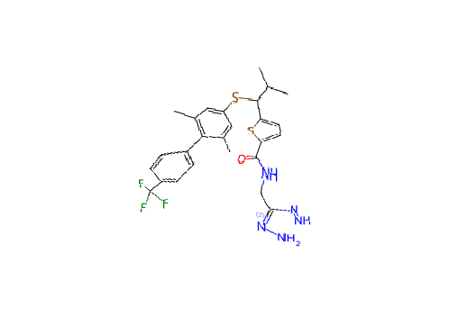 Cc1cc(SC(c2ccc(C(=O)NC/C(N=N)=N/N)s2)C(C)C)cc(C)c1-c1ccc(C(F)(F)F)cc1